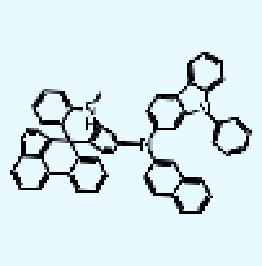 C[SiH]1c2ccccc2C2(c3ccccc3-c3cccc4cccc2c34)c2ccc(N(c3ccc4ccccc4c3)c3ccc4c5ccccc5n(-c5ccccc5)c4c3)cc21